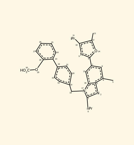 CCCc1nc2c(C)cc(-c3nc(C(C)C)c(C)o3)cc2n1Cc1ccc(-c2ccccc2OC(=O)O)cc1